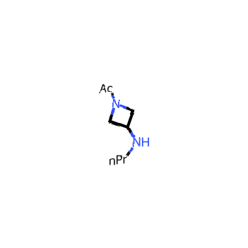 CCCNC1CN(C(C)=O)C1